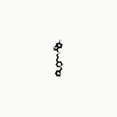 Fc1ccc2c(OCCCC3CCN(Cc4ccccn4)CC3)noc2c1